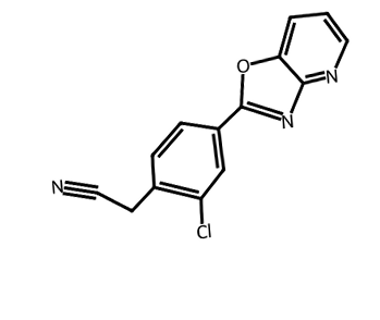 N#CCc1ccc(-c2nc3ncccc3o2)cc1Cl